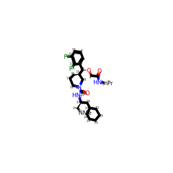 CCCNC(=O)CO[C@@H](c1cccc(F)c1F)[C@@H]1CCCN(C(=O)N[C@H](CNC)CC2CCCCC2)C1